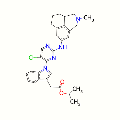 CC(C)OC(=O)Cc1cn(-c2nc(Nc3cc4c5c(c3)CN(C)CC5CCC4)ncc2Cl)c2ccccc12